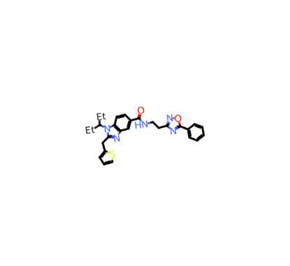 CCC(CC)n1c(Cc2cccs2)nc2cc(C(=O)NCCc3noc(-c4ccccc4)n3)ccc21